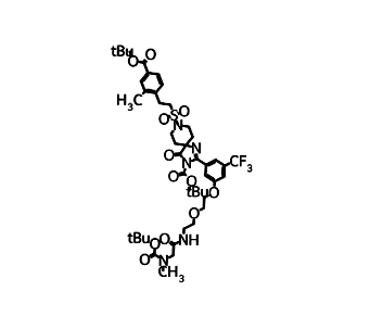 Cc1cc(C(=O)OC(C)(C)C)ccc1CCS(=O)(=O)N1CCC2(CC1)N=C(c1cc(OCCOCCNC(=O)CN(C)C(=O)OC(C)(C)C)cc(C(F)(F)F)c1)N(C(=O)OC(C)(C)C)C2=O